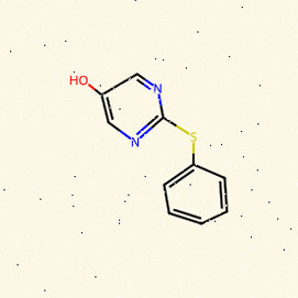 Oc1cnc(Sc2ccccc2)nc1